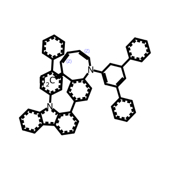 C=C1/C=C\C=C/N(C2=CC(c3ccccc3)=CC(c3ccccc3)C2)c2ccc(-c3cccc4c5ccccc5n(-c5ccc(-c6ccccc6)cc5)c34)cc21